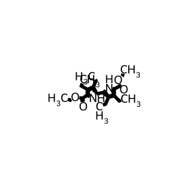 CCOC(=O)c1[nH]c(-c2[nH]c(C(=O)OCC)c(CC)c2CC)c(CC)c1CC